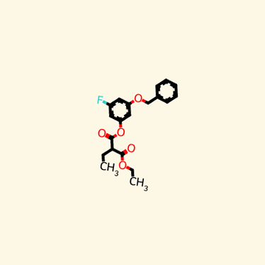 CCOC(=O)C(CC)C(=O)Oc1cc(F)cc(OCc2ccccc2)c1